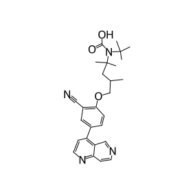 CC(COc1ccc(-c2ccnc3ccncc23)cc1C#N)CC(C)(C)N(C(=O)O)C(C)(C)C